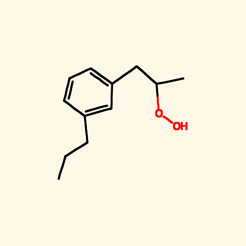 CCCc1cccc(CC(C)OO)c1